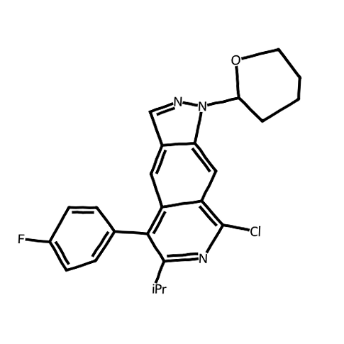 CC(C)c1nc(Cl)c2cc3c(cnn3C3CCCCO3)cc2c1-c1ccc(F)cc1